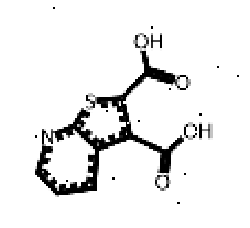 O=C(O)c1sc2ncccc2c1C(=O)O